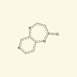 O=c1ccnc2cnccc2n1